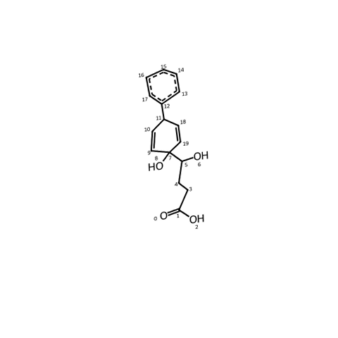 O=C(O)CCC(O)C1(O)C=CC(c2ccccc2)C=C1